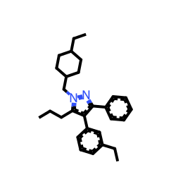 CCCc1c(-c2cccc(CC)c2)c(-c2ccccc2)nn1CC1CCC(CC)CC1